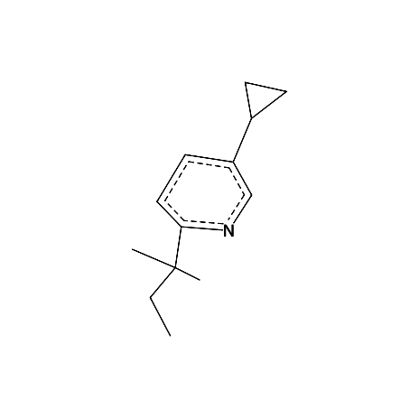 CCC(C)(C)c1ccc(C2CC2)cn1